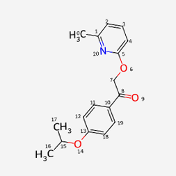 Cc1cccc(OCC(=O)c2ccc(OC(C)C)cc2)n1